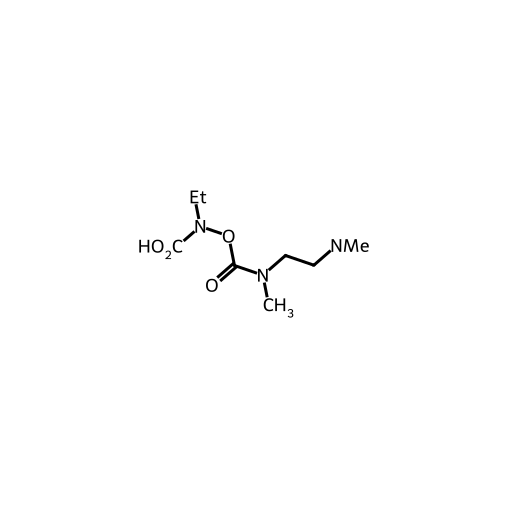 CCN(OC(=O)N(C)CCNC)C(=O)O